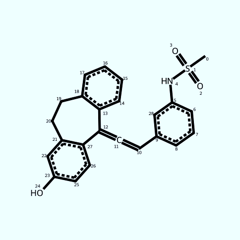 CS(=O)(=O)Nc1cccc(C=C=C2c3ccccc3CCc3cc(O)ccc32)c1